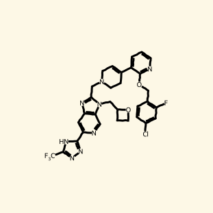 Fc1cc(Cl)ccc1COc1ncccc1C1=CCN(Cc2nc3cc(-c4nnc(C(F)(F)F)[nH]4)ncc3n2CC2CCO2)CC1